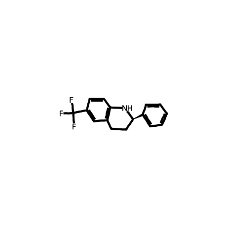 FC(F)(F)c1ccc2c(c1)CC[C@H](c1ccccc1)N2